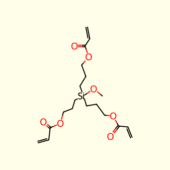 C=CC(=O)OCCC[Si](CCCOC(=O)C=C)(CCCOC(=O)C=C)OC